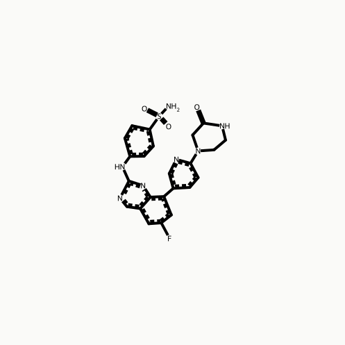 NS(=O)(=O)c1ccc(Nc2ncc3cc(F)cc(-c4ccc(N5CCNC(=O)C5)nc4)c3n2)cc1